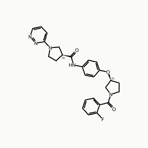 O=C(Nc1ccc(O[C@H]2CCN(C(=O)c3ccccc3F)C2)cc1)[C@H]1CCN(c2cccnn2)C1